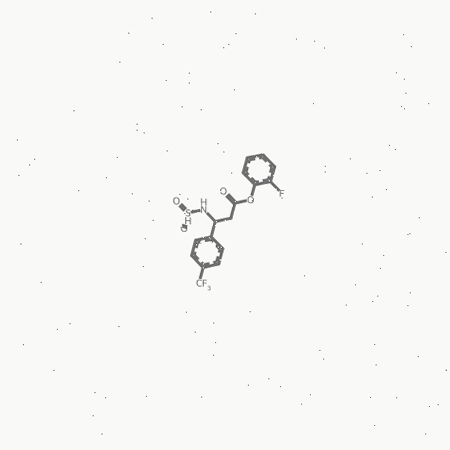 O=C(CC(N[SH](=O)=O)c1ccc(C(F)(F)F)cc1)Oc1ccccc1F